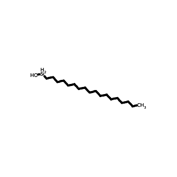 CCCCCCCCCCCCCCCCCC[SiH2]O